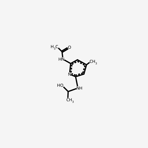 CC(=O)Nc1cc(C)cc(NC(C)O)n1